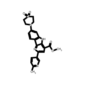 COC(=O)c1cc(-c2ccc(C)nc2)nc2c1[nH]c1cc(N3CCS(=O)(=O)CC3)ccc12